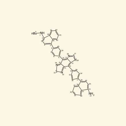 CCCCNc1ccc(-c2ccc(-c3c4c(c(-c5ccc(-c6ccc(N)c7ccccc67)cc5)c5nsnc35)N=S=N4)cc2)c2ccccc12